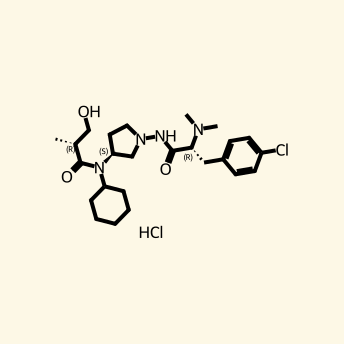 C[C@H](CO)C(=O)N(C1CCCCC1)[C@H]1CCN(NC(=O)[C@@H](Cc2ccc(Cl)cc2)N(C)C)C1.Cl